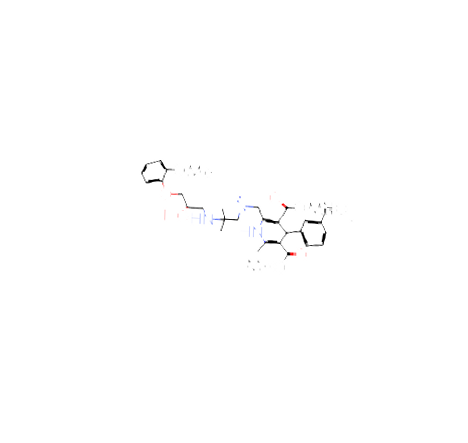 COC(=O)C1=C(C)NC(CN(C)CC(C)(C)NCC(O)COc2ccccc2OC)=C(C(=O)OC)C1c1cccc([N+](=O)[O-])c1